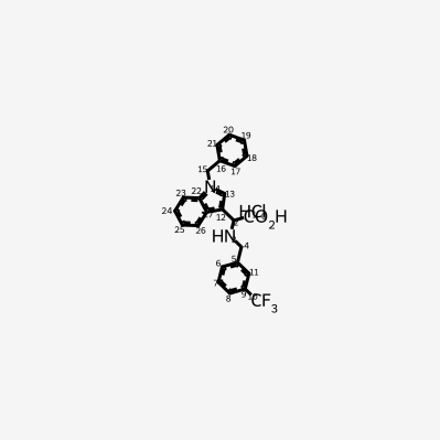 Cl.O=C(O)C(NCc1cccc(C(F)(F)F)c1)c1cn(Cc2ccccc2)c2ccccc12